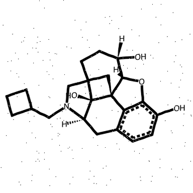 Oc1ccc2c3c1O[C@H]1[C@@H](O)CCC45CN(CC6CCC6)[C@H](C2)[C@@]4(O)[C@@]31C5